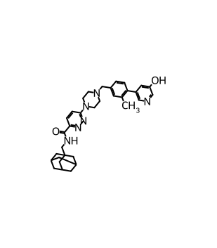 Cc1cc(CN2CCN(c3ccc(C(=O)NCC45CC6CC(CC(C6)C4)C5)nn3)CC2)ccc1-c1cncc(O)c1